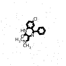 CN(C)C=C1N=C(c2ccccc2)c2cc(Cl)ccc2NC1=O